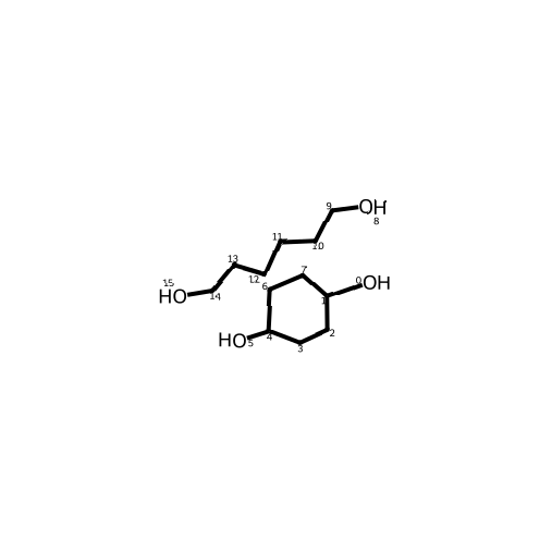 OC1CCC(O)CC1.OCCCCCCO